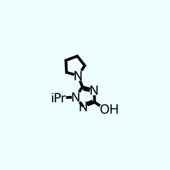 CC(C)n1nc(O)nc1N1CCCC1